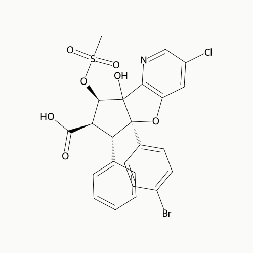 CS(=O)(=O)O[C@@H]1[C@H](C(=O)O)[C@@H](c2ccccc2)[C@]2(c3ccc(Br)cc3)Oc3cc(Cl)cnc3C12O